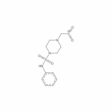 O=[SH](=O)CN1CCN(S(=O)(=O)Nc2ccccc2)CC1